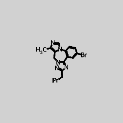 Cc1ncn2c1Cn1nc(CC(C)C)nc1-c1cc(Br)ccc1-2